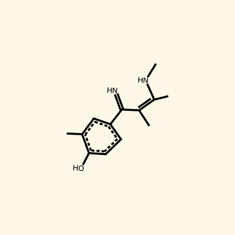 CN/C(C)=C(/C)C(=N)c1ccc(O)c(C)c1